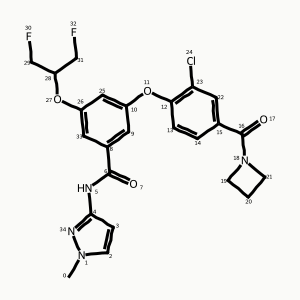 Cn1ccc(NC(=O)c2cc(Oc3ccc(C(=O)N4CCC4)cc3Cl)cc(OC(CF)CF)c2)n1